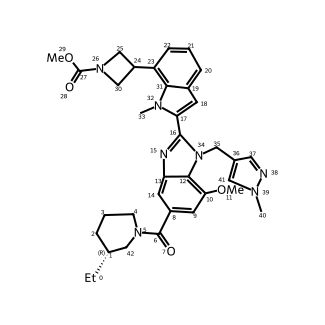 CC[C@@H]1CCCN(C(=O)c2cc(OC)c3c(c2)nc(-c2cc4cccc(C5CN(C(=O)OC)C5)c4n2C)n3Cc2cnn(C)c2)C1